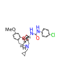 COc1ccc2c(c1)[C@]13CCN(CC4CC4)[C@H](C2)[C@]12CC[C@@](NC(=O)Nc1ccc(Cl)cc1)(CO2)C3